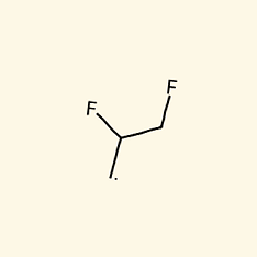 [CH2]C(F)CF